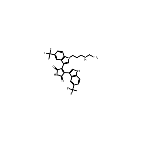 CCNCCCn1cc(C2=C(c3c[nH]c4ccc(C(F)(F)F)cc34)C(=O)NC2=O)c2cc(C(F)(F)F)ccc21